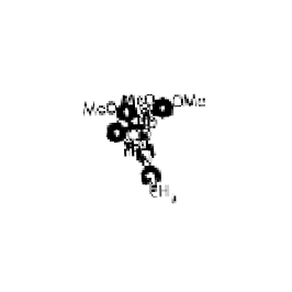 CCCOc1ccccc1C1(OC(=O)N2CCN(C3CCN(C)CC3)CC2)C(=O)N(S(=O)(=O)c2ccc(OC)cc2OC)c2ccc(OC)cc21